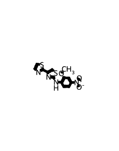 COc1cc([N+](=O)[O-])ccc1Nc1nc(-c2nccs2)cs1